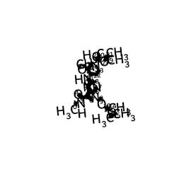 CCNC(=O)c1cn(COCC[Si](C)(C)C)c2ncc(NC3CCN(C(=O)OC(C)(C)C)C[C@H]3OC)nc12